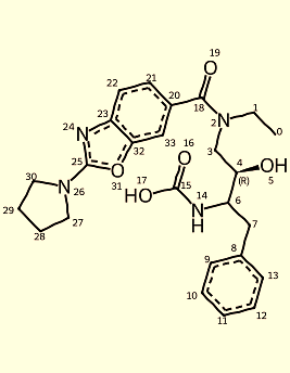 CCN(C[C@@H](O)C(Cc1ccccc1)NC(=O)O)C(=O)c1ccc2nc(N3CCCC3)oc2c1